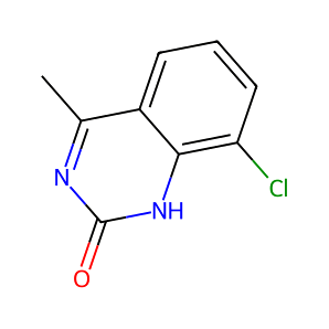 Cc1nc(=O)[nH]c2c(Cl)cccc12